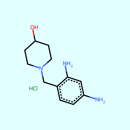 Cl.Nc1ccc(CN2CCC(O)CC2)c(N)c1